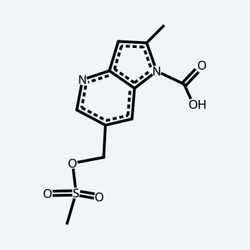 Cc1cc2ncc(COS(C)(=O)=O)cc2n1C(=O)O